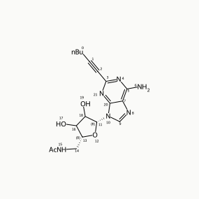 CCCCC#Cc1nc(N)c2ncn([C@@H]3O[C@H](CNC(C)=O)C(O)C3O)c2n1